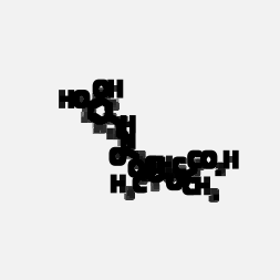 CC(C)(CCOC(C)(C)CC(=O)O)OCC(=O)NCCc1ccc(O)c(O)c1